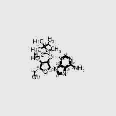 CC(C)(C)[Si](C)(C)OC1C(O)[C@@H](CO)O[C@H]1n1cnc2c(N)ncnc21